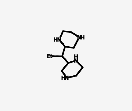 CCC(C1CNCCN1)C1CNCCN1